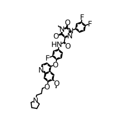 COc1cc2c(Oc3ccc(NC(=O)c4nn(-c5ccc(F)c(F)c5)c(=O)n(C)c4=O)cc3F)ccnc2cc1OCCCN1CCCC1